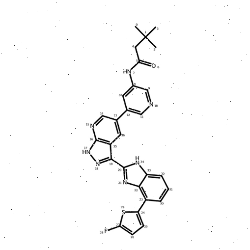 CC(C)(C)CC(=O)Nc1cncc(-c2cnc3[nH]nc(-c4nc5c(-c6ccc(F)s6)cccc5[nH]4)c3c2)c1